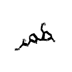 CSC(N)=Nc1nc(-c2nc(C(C)=O)ccc2CN)cs1